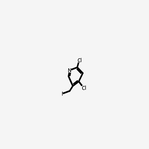 Clc1cc(Cl)c(CI)cn1